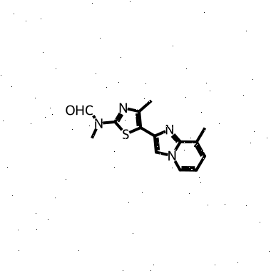 Cc1nc(N(C)C=O)sc1-c1cn2cccc(C)c2n1